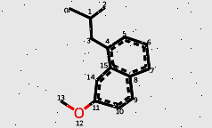 [CH2]C(C)Cc1cccc2ccc(OC)cc12